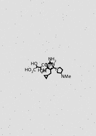 CN[C@@H]1CCN(c2nc(N)nc(N)c2CC2CC2)C1.O=C(O)C(O)C(O)C(=O)O